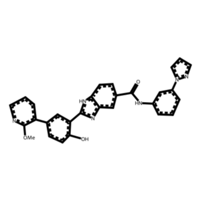 COc1ncccc1-c1ccc(O)c(-c2nc3cc(C(=O)Nc4cccc(-n5cccn5)c4)ccc3[nH]2)c1